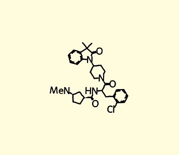 CN[C@@H]1CC[C@H](C(=O)NC(Cc2ccccc2Cl)C(=O)N2CCC(N3C(=O)C(C)(C)c4ccccc43)CC2)C1